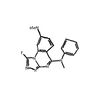 CNc1ccc2c(N(C)c3ccccc3)nc3nnc(F)n3c2c1